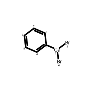 [Br][Ga]([Br])[c]1ccccc1